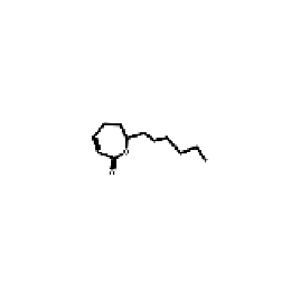 CCCCCCC1CCC=CC(=O)O1